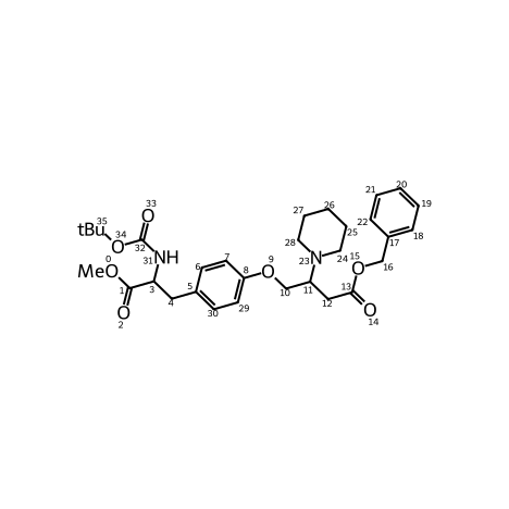 COC(=O)C(Cc1ccc(OCC(CC(=O)OCc2ccccc2)N2CCCCC2)cc1)NC(=O)OC(C)(C)C